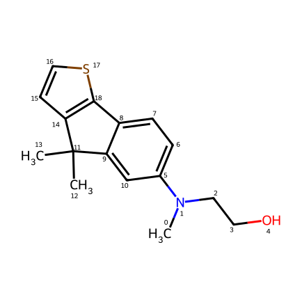 CN(CCO)c1ccc2c(c1)C(C)(C)c1ccsc1-2